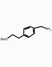 COCCc1ccc(CN)cc1